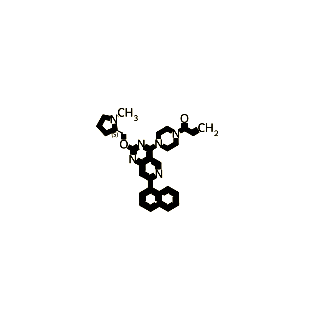 C=CC(=O)N1CCN(c2nc(OC[C@@H]3CCCN3C)nc3cc(-c4cccc5ccccc45)ncc23)CC1